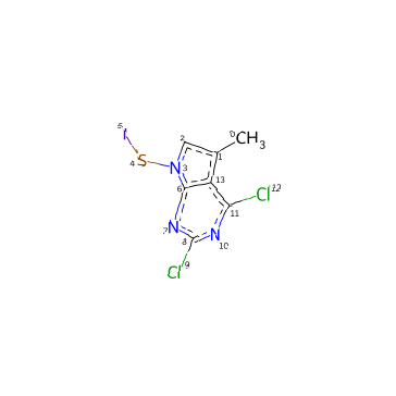 Cc1cn(SI)c2nc(Cl)nc(Cl)c12